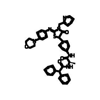 C[C@H](NC(=O)C(c1ccccc1)c1ccccc1)C(=O)Nc1ccc(C2S/C(=N\c3ccc(N4CCOCC4)cc3)N(Cc3ccccn3)C2=O)cc1